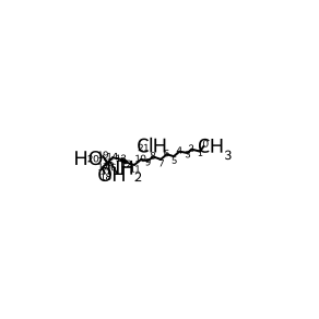 CCCCCCCCCCCCC#CCC(N)(CO)CO.Cl